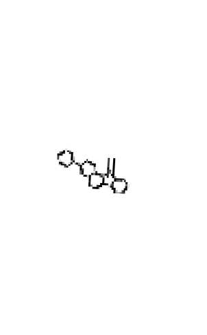 c1ccc(-c2ccc3c(ccc4c5ccccc5[nH]c34)c2)cc1